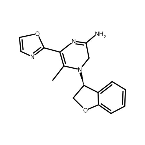 CC1=C(c2ncco2)N=C(N)CN1[C@@H]1COc2ccccc21